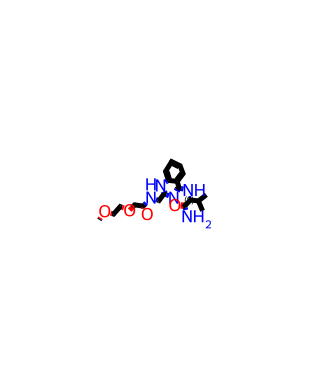 COCCOCC(=O)NCc1nc(N[C@H](C(N)=O)C(C)C)c2ccccc2n1